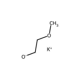 COCC[O-].[K+]